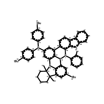 Cc1ccccc1N1B2c3cc(C(C)(C)C)cc4c3N(c3cc(N(c5ccc(C(C)(C)C)cc5)c5ccc(C(C)(C)C)cc5)cc(c32)-c2ccc3c(sc5ccccc53)c21)C1(C)CCCCC41C